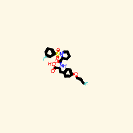 O=C(O)C(Cc1ccc(OCCCF)cc1)NC(=O)C1CCCCN1S(=O)(=O)c1cccc(F)c1